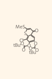 CSc1cc(=O)c2cc(OC(=O)OC(C)(C)C)c(OC(=O)OC(C)(C)C)c(Cl)c2s1